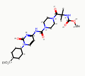 CCOC(=O)[C@H]1CC[C@@H](n2ccc(NC(=O)N3CCN(C(=O)C(C)(C)NC(=O)OC(C)(C)C)CC3)nc2=O)CC1